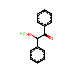 Cl.O=C(c1ccccc1)C(O)c1ccccc1